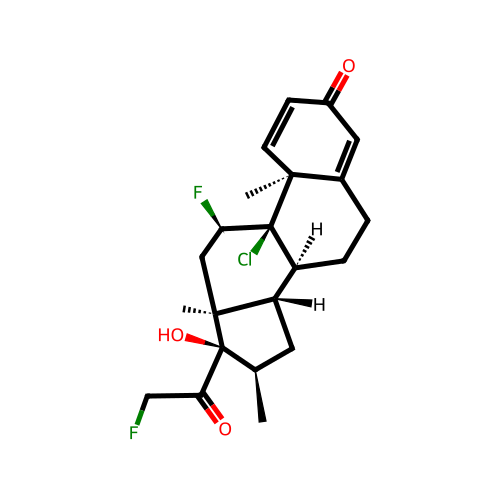 C[C@@H]1C[C@H]2[C@@H]3CCC4=CC(=O)C=C[C@]4(C)[C@@]3(Cl)[C@H](F)C[C@]2(C)[C@@]1(O)C(=O)CF